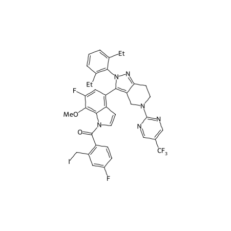 CCc1cccc(CC)c1-n1nc2c(c1-c1cc(F)c(OC)c3c1ccn3C(=O)c1ccc(F)cc1CI)CN(c1ncc(C(F)(F)F)cn1)CC2